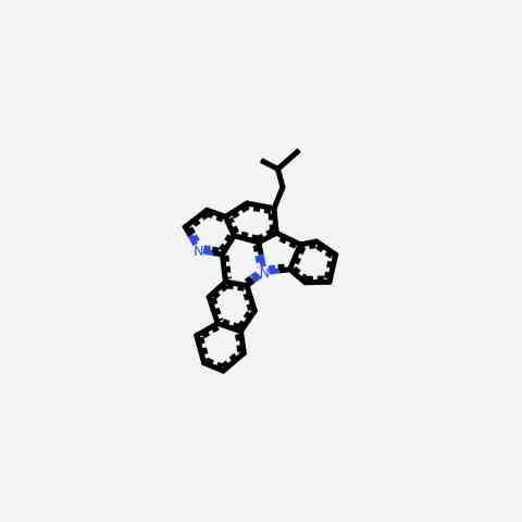 CC(C)Cc1cc2ccnc3c4cc5ccccc5cc4n4c5ccccc5c1c4c23